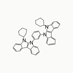 c1cc(-n2c3ccccc3c3c4ccccc4n(C4CCCCC4)c32)cc(-n2c3ccccc3c3c4ccccc4n(C4CCCCC4)c32)c1